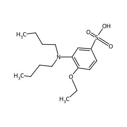 CCCCN(CCCC)c1cc(S(=O)(=O)O)ccc1OCC